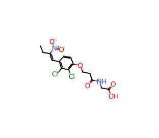 CCC(=Cc1ccc(OCCC(=O)NCC(=O)O)c(Cl)c1Cl)[N+](=O)[O-]